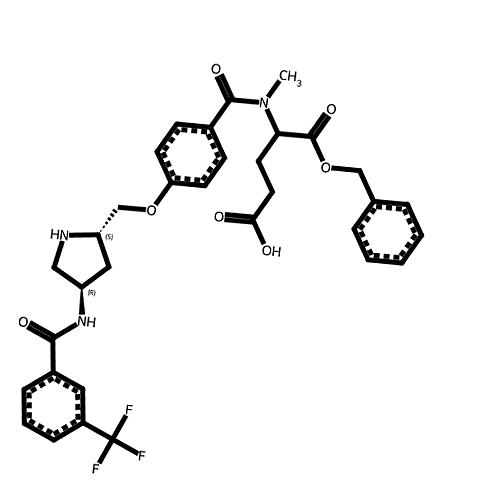 CN(C(=O)c1ccc(OC[C@@H]2C[C@@H](NC(=O)c3cccc(C(F)(F)F)c3)CN2)cc1)C(CCC(=O)O)C(=O)OCc1ccccc1